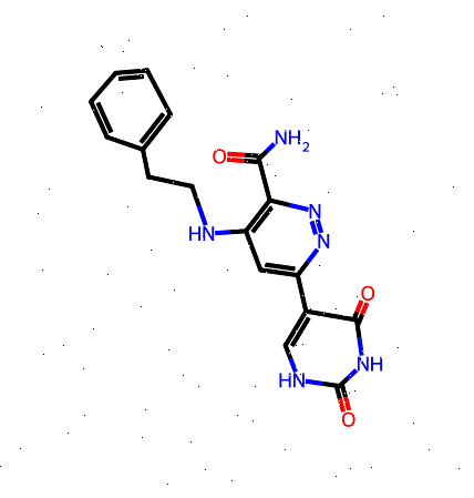 NC(=O)c1nnc(-c2c[nH]c(=O)[nH]c2=O)cc1NCCc1ccccc1